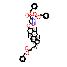 C[C@H](CCC(=O)OCc1ccccc1)[C@H]1CC[C@H]2[C@@H]3CC[C@@H]4C[C@@H](OC(=O)C[C@H](NC(=O)OCc5ccccc5)C(=O)OCc5ccccc5)CC[C@]4(C)[C@H]3CC[C@]12C